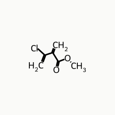 C=C(Cl)C(=C)C(=O)OC